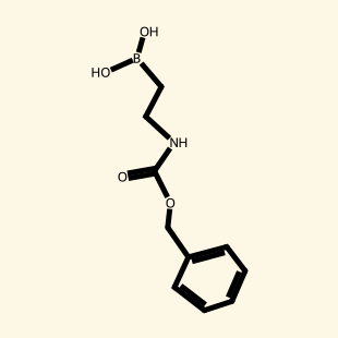 O=C(NCCB(O)O)OCc1ccccc1